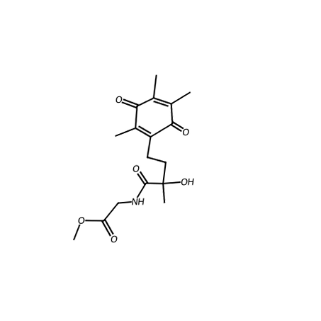 COC(=O)CNC(=O)C(C)(O)CCC1=C(C)C(=O)C(C)=C(C)C1=O